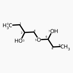 CCC(O)COC(O)CC